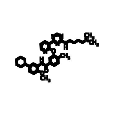 COc1ccc(C2CCCCC2)cc1NC(=O)c1ccc(C)c(Oc2ncccc2-c2ncnc(NCCCCN(C)C)n2)c1